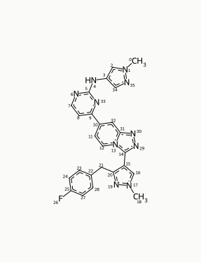 Cn1cc(Nc2nccc(-c3ccn4c(-c5cn(C)nc5Cc5ccc(F)cc5)nnc4c3)n2)cn1